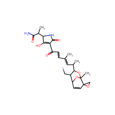 CC(/C=C/C(=O)C1=C(O)C(C(C)C(N)=O)NC1=O)=C\C(C)C1OC2(C)OC(C=CC23CO3)C1CI